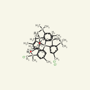 CC1=C(C)[C]([Ti+3])([Si](c2cc(C)cc([Si](C)(C)C)c2[Si](C)(C)C)(c2cc(C)cc([Si](C)(C)C)c2[Si](C)(C)C)c2cc(C)cc([Si](C)(C)C)c2[Si](C)(C)C)C(C)=C1C.[Cl-].[Cl-].[Cl-]